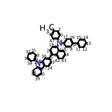 Cc1ccc(N(c2ccc(-c3ccccc3)cc2)c2ccc(-c3ccc4c5c(n(-c6ccccc6)c4c3)CCC=C5)c3ccccc23)cc1